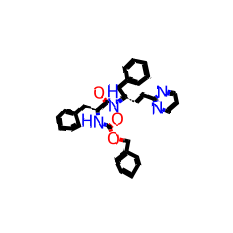 O=C(N[C@@H](Cc1ccccc1)C(=O)N[C@@H](CCc1ncccn1)Cc1ccccc1)OCc1ccccc1